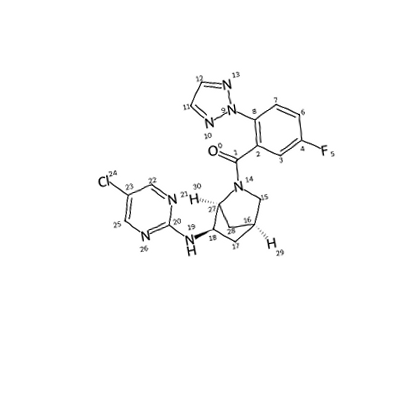 O=C(c1cc(F)ccc1-n1nccn1)N1C[C@H]2C[C@@H](Nc3ncc(Cl)cn3)[C@@H]1C2